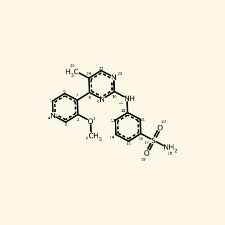 COc1cnccc1-c1nc(Nc2cccc(S(N)(=O)=O)c2)ncc1C